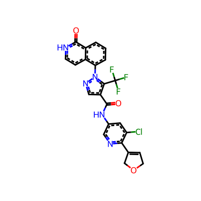 O=C(Nc1cnc(C2=CCOC2)c(Cl)c1)c1cnn(-c2cccc3c(=O)[nH]ccc23)c1C(F)(F)F